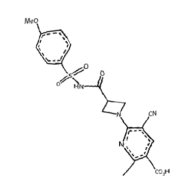 COc1ccc(S(=O)(=O)NC(=O)C2CN(c3nc(C)c(C(=O)O)cc3C#N)C2)cc1